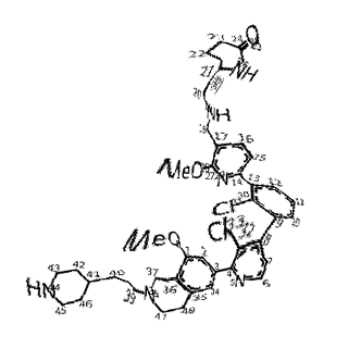 COc1cc(-c2nccc(-c3cccc(-c4ccc(CNC[C@H]5CCC(=O)N5)c(OC)n4)c3Cl)c2Cl)cc2c1CN(CCC1CCNCC1)CC2